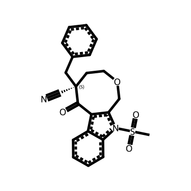 CS(=O)(=O)n1c2c(c3ccccc31)C(=O)[C@@](C#N)(Cc1ccccc1)CCOC2